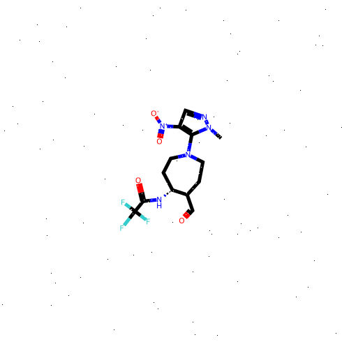 Cn1ncc([N+](=O)[O-])c1N1CCC(C=O)[C@H](NC(=O)C(F)(F)F)CC1